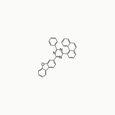 c1ccc(-c2nc(-c3ccc4c(c3)oc3ccccc34)nc(-c3cccc4ccc5ccccc5c34)n2)cc1